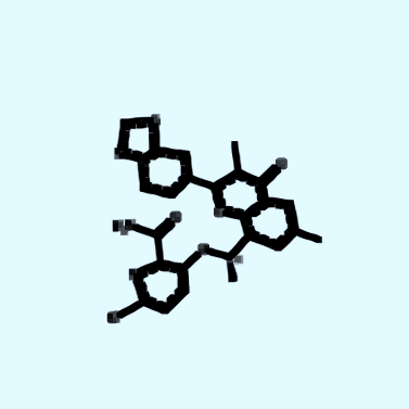 Cc1cc([C@@H](C)Oc2ccc(Cl)nc2C(N)=O)c2oc(-c3ccc4ncsc4c3)c(C)c(=O)c2c1